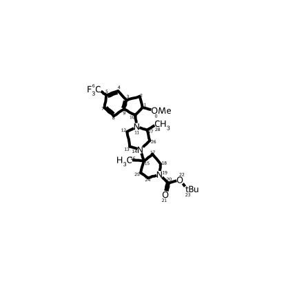 COC1Cc2cc(C(F)(F)F)ccc2C1N1CCN(C2(C)CCN(C(=O)OC(C)(C)C)CC2)CC1C